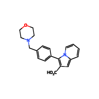 O=C(O)c1cc2ccccn2c1-c1ccc(CN2CCOCC2)cc1